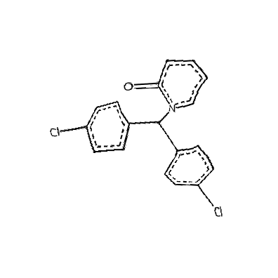 O=c1ccccn1C(c1ccc(Cl)cc1)c1ccc(Cl)cc1